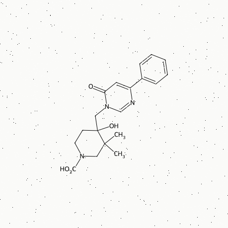 CC1(C)CN(C(=O)O)CCC1(O)Cn1cnc(-c2ccccc2)cc1=O